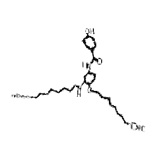 CCCCCCCCCCCCCCCCCCNc1cc(NC(=O)c2ccc(O)cc2)ccc1OCCCCCCCCCCCCCCCCCC